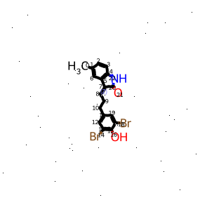 Cc1ccc2c(c1)/C(=C/CCc1cc(Br)c(O)c(Br)c1)C(=O)N2